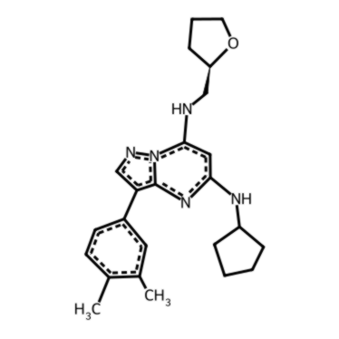 Cc1ccc(-c2cnn3c(NC[C@H]4CCCO4)cc(NC4CCCC4)nc23)cc1C